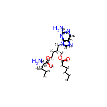 CCCCCC(=O)OC[C@H](CCOC(=O)[C@@H](N)C(C)CC)Cn1cnc2cnc(N)nc21